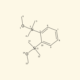 CO[Si](C)(C)c1ccccc1[Si](C)(C)OC